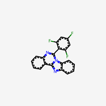 Fc1cc(F)c(-c2nc3ccccc3c3nc4ccccc4n23)c(F)c1